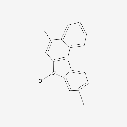 Cc1ccc2c3c4ccccc4c(C)cc3[s+]([O-])c2c1